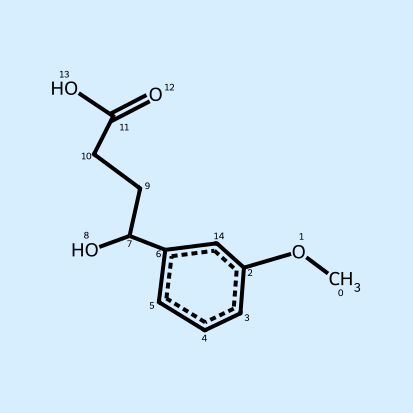 COc1cccc(C(O)CCC(=O)O)c1